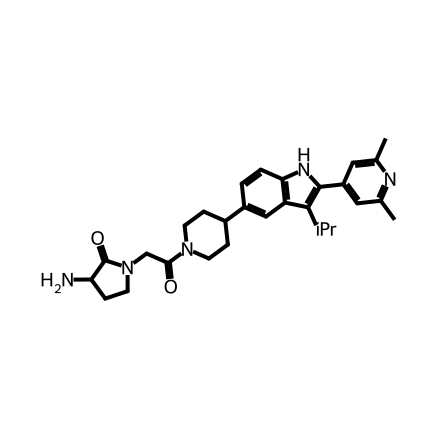 Cc1cc(-c2[nH]c3ccc(C4CCN(C(=O)CN5CCC(N)C5=O)CC4)cc3c2C(C)C)cc(C)n1